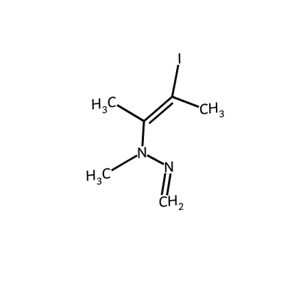 C=NN(C)/C(C)=C(\C)I